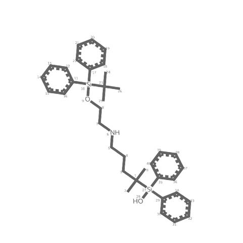 CC(C)(CCCNCCO[Si](c1ccccc1)(c1ccccc1)C(C)(C)C)[Si](O)(c1ccccc1)c1ccccc1